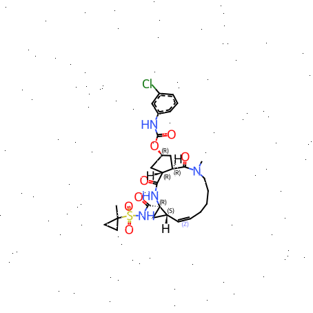 CN1CCCC/C=C\[C@@H]2C[C@@]2(C(=O)NS(=O)(=O)C2(C)CC2)NC(=O)[C@@H]2C[C@@H](OC(=O)Nc3cccc(Cl)c3)C[C@H]2C1=O